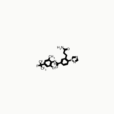 CCc1cc(C(F)(C(F)(F)F)C(F)(F)F)cc(C)c1NC(=O)c1ccc(-n2cncn2)c(CCC(N)=O)c1